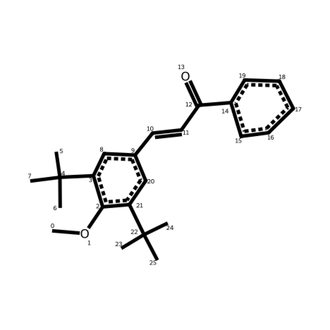 COc1c(C(C)(C)C)cc(C=CC(=O)c2ccccc2)cc1C(C)(C)C